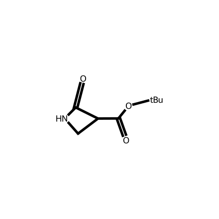 CC(C)(C)OC(=O)C1CNC1=O